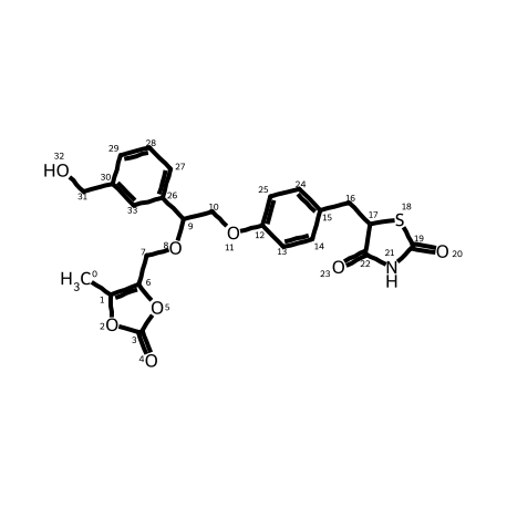 Cc1oc(=O)oc1COC(COc1ccc(CC2SC(=O)NC2=O)cc1)c1cccc(CO)c1